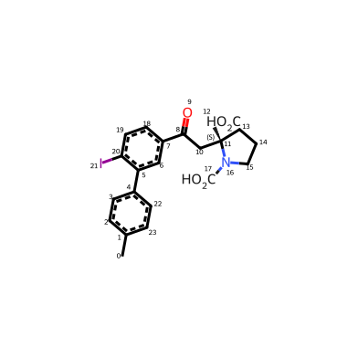 Cc1ccc(-c2cc(C(=O)C[C@]3(C(=O)O)CCCN3C(=O)O)ccc2I)cc1